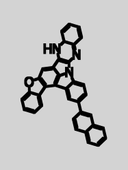 C1=CC2=Nc3c(c4cc5oc6ccccc6c5c5c6cc(-c7ccc8ccccc8c7)ccc6n3c45)NC2C=C1